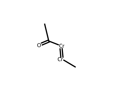 [CH3][Cr]=[Cr][C](C)=O